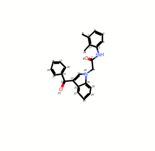 Cc1cccc(NC(=O)Cn2cc(C(=O)c3ccccc3)c3ccccc32)c1C